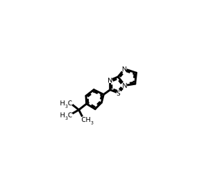 CC(C)(C)c1ccc(-c2nc3nccn3s2)cc1